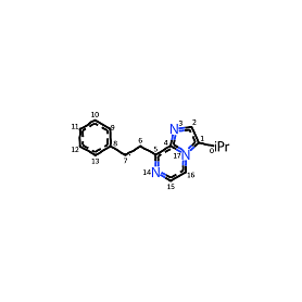 CC(C)c1cnc2c(C[CH]c3ccccc3)nccn12